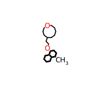 Cc1ccc(OCCC2CCCCCOCCC2)c2ccccc12